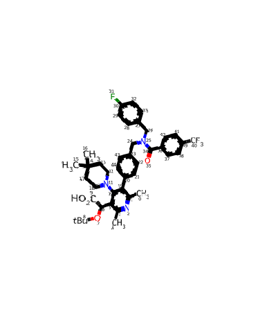 Cc1nc(C)c(C(OC(C)(C)C)C(=O)O)c(N2CCC(C)(C)CC2)c1-c1ccc(CN(Cc2ccc(F)cc2)C(=O)c2ccc(C(F)(F)F)cc2)cc1